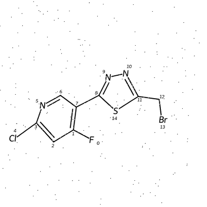 Fc1cc(Cl)ncc1-c1nnc(CBr)s1